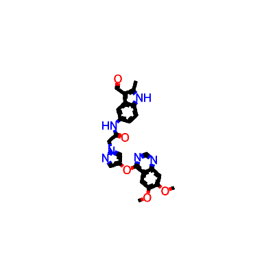 COc1cc2ncnc(Oc3cnn(CC(=O)Nc4ccc5[nH]c(C)c(C=O)c5c4)c3)c2cc1OC